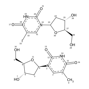 Cc1cn([C@H]2C[C@H](O)[C@@H](CO)O2)c(=O)[nH]c1=O.O=c1[nH]c(=O)n(C2C[C@H](O)[C@@H](CO)O2)cc1I